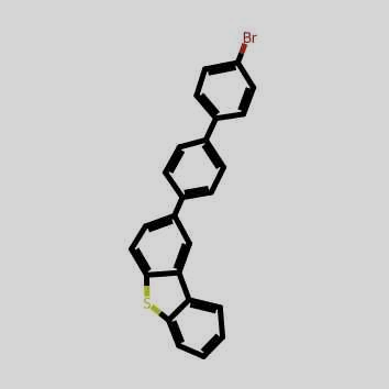 Brc1ccc(-c2ccc(-c3ccc4sc5ccccc5c4c3)cc2)cc1